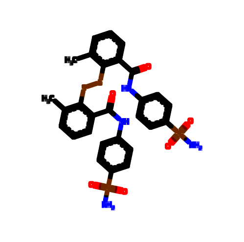 Cc1cccc(C(=O)Nc2ccc(S(N)(=O)=O)cc2)c1SSc1c(C)cccc1C(=O)Nc1ccc(S(N)(=O)=O)cc1